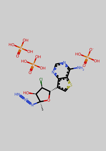 C[C@@]1(N=[N+]=N)O[C@@H](c2csc3c(N)ncnc23)[C@H](Cl)[C@@H]1O.O=P(O)(O)O.O=P(O)(O)O.O=P([O-])(O)O